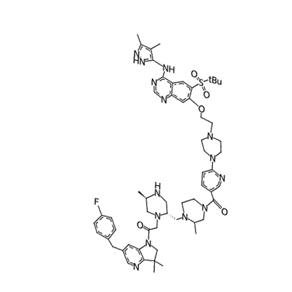 Cc1n[nH]c(Nc2ncnc3cc(OCCN4CCN(c5ccc(C(=O)N6CCN(C[C@H]7CN[C@H](C)CN7CC(=O)N7CC(C)(C)c8ncc(Cc9ccc(F)cc9)cc87)C(C)C6)cn5)CC4)c(S(=O)(=O)C(C)(C)C)cc23)c1C